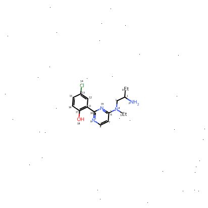 CCC(N)CN(CC)c1ccnc(-c2cc(Cl)ccc2O)n1